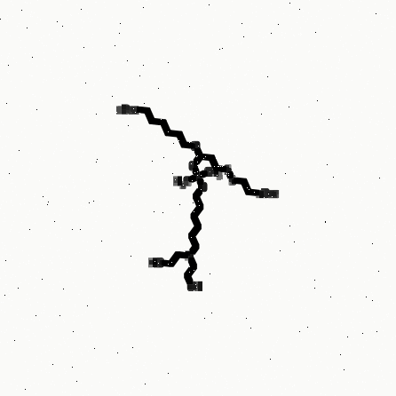 CCCCCCCCCCCCCCCCOC(CCSSCCCCCCCCCCCC)O[Si](C)(C)OCCCCCCN(CCO)CCO